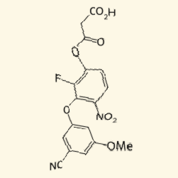 COc1cc(C#N)cc(Oc2c([N+](=O)[O-])ccc(OC(=O)CC(=O)O)c2F)c1